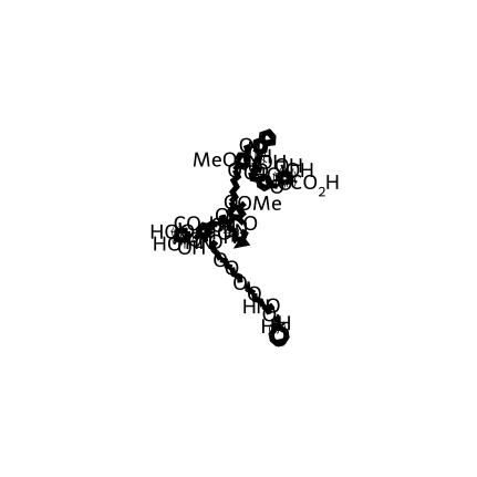 COc1cc2c(cc1OCCCCCOc1cc3c(cc1OC)C(=O)N1CC4(CC4)C[C@H]1[C@H](O)N3C(=O)OCc1ccc(O[C@@H]3O[C@H](C(=O)O)[C@@H](O)[C@H](O)[C@H]3O)c(NC(=O)CCOCCOCCOCCOCCNC(=O)OCC3[C@H]4CCC#CCC[C@@H]34)c1)N(C(=O)OCc1ccc(O[C@@H]3O[C@H](C(=O)O)[C@@H](O)[C@H](O)[C@H]3O)cc1)[C@@H](O)[C@@H]1Cc3ccccc3CN1C2=O